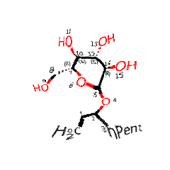 C=CC(CCCCC)OC1O[C@H](CO)[C@@H](O)[C@H](O)[C@H]1O